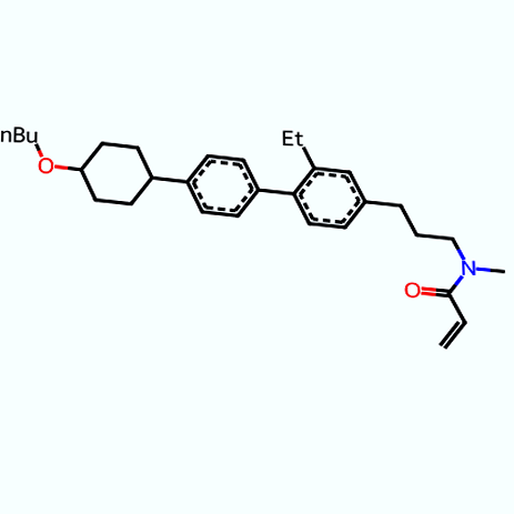 C=CC(=O)N(C)CCCc1ccc(-c2ccc(C3CCC(OCCCC)CC3)cc2)c(CC)c1